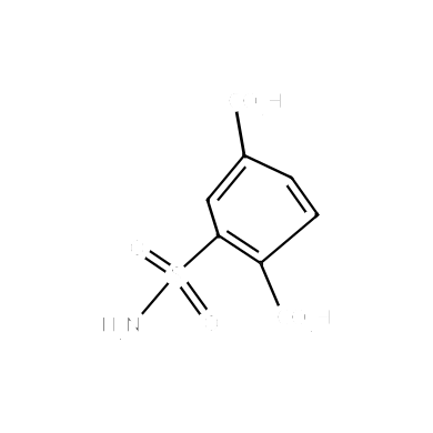 NS(=O)(=O)c1cc(C(=O)O)ccc1C(=O)O